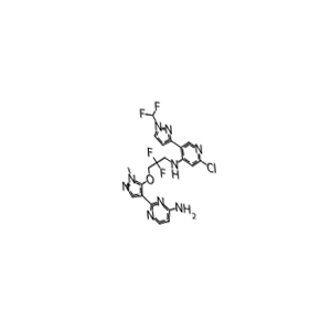 Cn1ncc(-c2nccc(N)n2)c1OCC(F)(F)CNc1cc(Cl)ncc1-c1ccn(C(F)F)n1